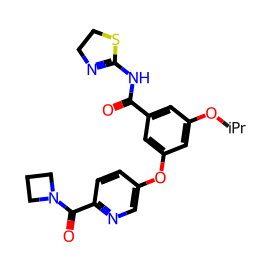 CC(C)Oc1cc(Oc2ccc(C(=O)N3CCC3)nc2)cc(C(=O)NC2=NCCS2)c1